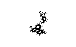 CC(=O)OCc1cncc(COc2cc3c(=O)ccn4c5ccc(Br)cc5c(c2)c34)c1